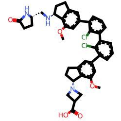 COc1cc(-c2cccc(-c3cccc(-c4cc5c(c(OC)c4)[C@H](NC[C@@H]4CCC(=O)N4)CC5)c3Cl)c2Cl)cc2c1[C@H](N1CC(C(=O)O)C1)CC2